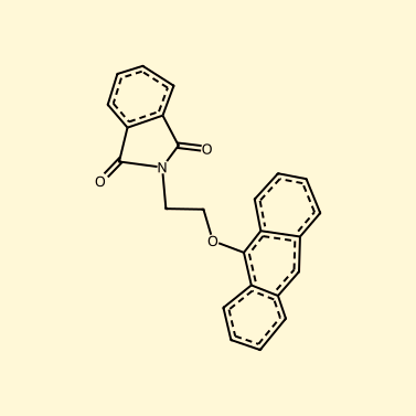 O=C1c2ccccc2C(=O)N1CCOc1c2ccccc2cc2ccccc12